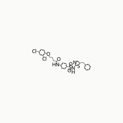 O=C(CCCOc1ccc(Cl)cc1Cl)Nc1ccc(S(=O)(=O)Nc2ncc(Cc3ccccc3)s2)cc1